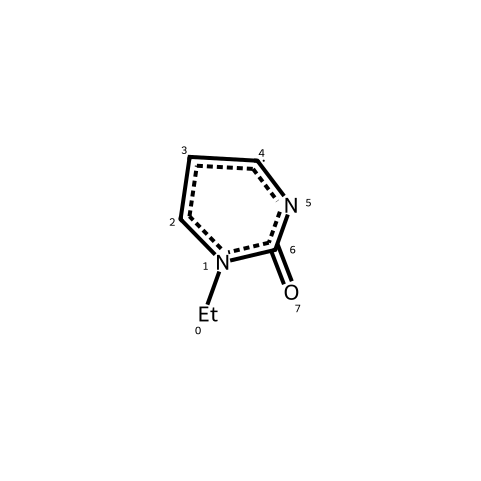 CCn1cc[c]nc1=O